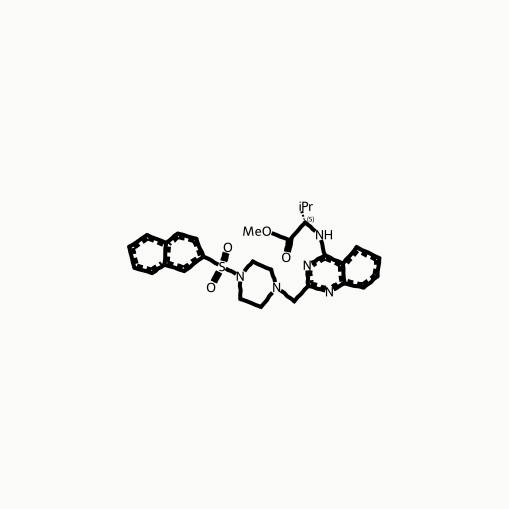 COC(=O)[C@@H](Nc1nc(CN2CCN(S(=O)(=O)c3ccc4ccccc4c3)CC2)nc2ccccc12)C(C)C